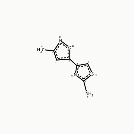 Cc1cc(-c2csc(N)n2)on1